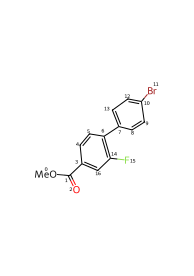 COC(=O)c1ccc(-c2ccc(Br)cc2)c(F)c1